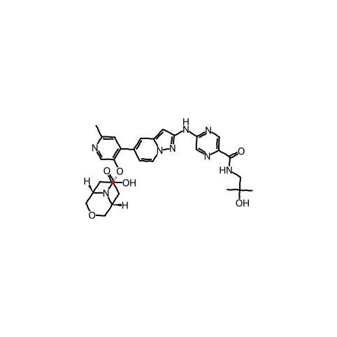 Cc1cc(-c2ccn3nc(Nc4cnc(C(=O)NCC(C)(C)O)cn4)cc3c2)c(O[C@H]2C[C@H]3COC[C@@H](C2)N3C(=O)O)cn1